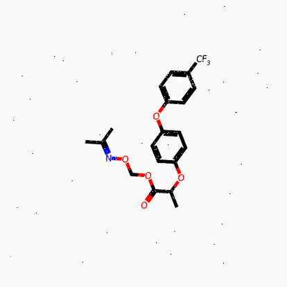 CC(C)=NOCOC(=O)C(C)Oc1ccc(Oc2ccc(C(F)(F)F)cc2)cc1